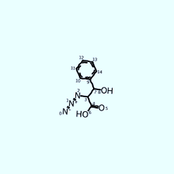 [N-]=[N+]=NC(C(=O)O)C(O)c1ccccc1